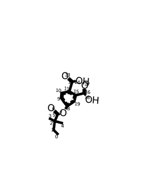 CCC(C)(C)C(=O)Oc1ccc(C(=O)O)c(C(=O)O)c1